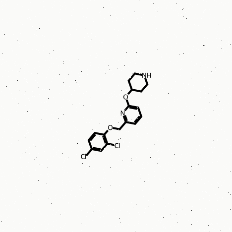 Clc1ccc(OCc2cccc(OC3CCNCC3)n2)c(Cl)c1